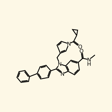 CNC(=O)c1ccc2nc(-c3ccc(-c4ccccc4)cc3)n(Cc3ccn(C(=O)C4CC4)c3)c2c1